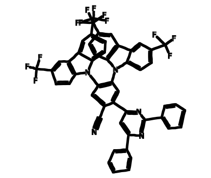 N#Cc1cc(-n2c3ccc(C(F)(F)F)cc3c3cc(C(F)(F)F)ccc32)c(-n2c3ccc(C(F)(F)F)cc3c3cc(C(F)(F)F)ccc32)cc1-c1cc(-c2ccccc2)nc(-c2ccccc2)n1